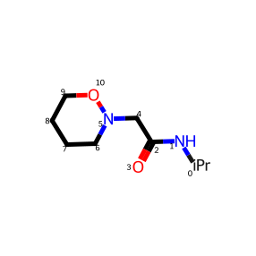 CC(C)NC(=O)CN1CCCCO1